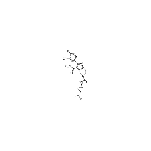 NC(=O)c1c(-c2ccc(F)c(Cl)c2)nn2c1CN(C(=O)N[C@H]1CC[C@H](C(F)F)C1)CC2